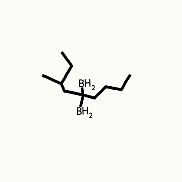 BC(B)(CCCC)CC(C)CC